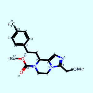 COCc1ncc2n1CCN(C(=O)OC(C)(C)C)C2CCc1ccc(C(F)(F)F)cc1